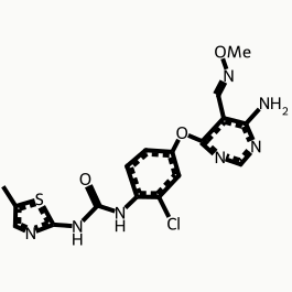 CON=Cc1c(N)ncnc1Oc1ccc(NC(=O)Nc2ncc(C)s2)c(Cl)c1